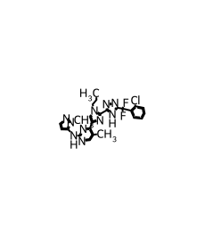 CCCn1cc(-c2nc(Nc3ccnn3C)ncc2C)nc1-c1nnc(C(F)(F)c2ccccc2Cl)[nH]1